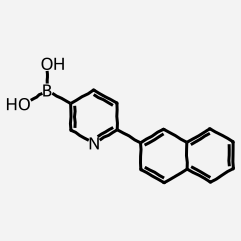 OB(O)c1ccc(-c2ccc3ccccc3c2)nc1